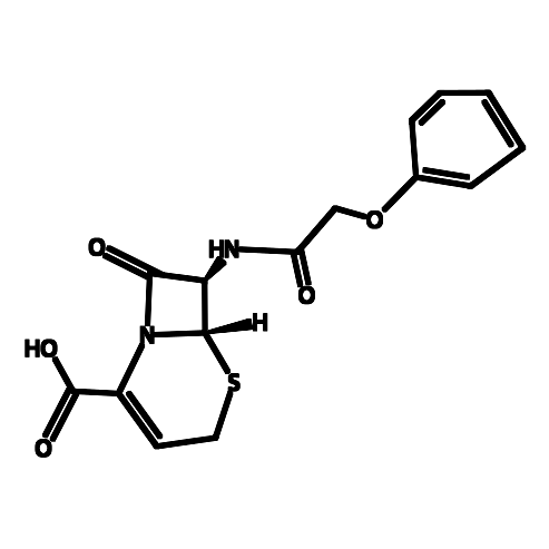 O=C(COc1ccccc1)N[C@@H]1C(=O)N2C(C(=O)O)=CCS[C@@H]12